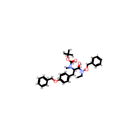 CCN(OCc1ccccc1)C(=O)C(Cc1ccc(OCc2ccccc2)cc1)N(C)C(=O)OC(C)(C)C